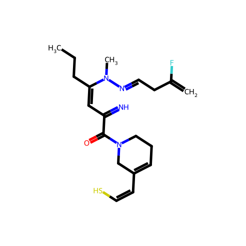 C=C(F)C/C=N/N(C)/C(=C\C(=N)C(=O)N1CCC=C(/C=C\S)C1)CCC